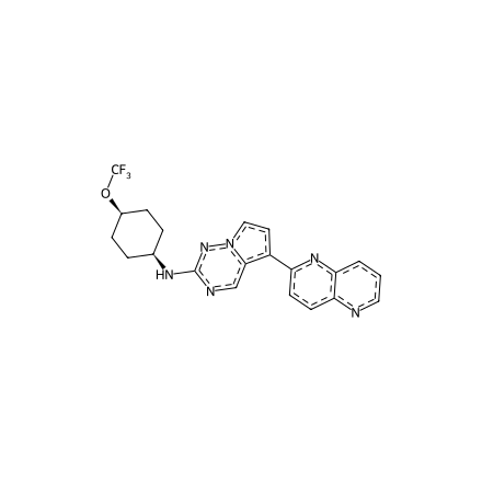 FC(F)(F)O[C@H]1CC[C@@H](Nc2ncc3c(-c4ccc5ncccc5n4)ccn3n2)CC1